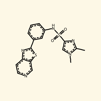 Cc1nc(S(=O)(=O)Nc2cccc(-c3nc4ccncc4s3)c2)cn1C